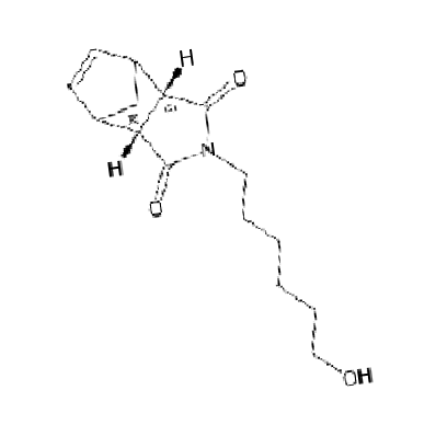 O=C1[C@@H]2C3C=CC(C3)[C@@H]2C(=O)N1CCCCCCO